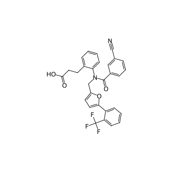 N#Cc1cccc(C(=O)N(Cc2ccc(-c3ccccc3C(F)(F)F)o2)c2ccccc2CCC(=O)O)c1